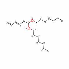 C=C/C=C/CC(OCCCCCCC)OCCCCCCC